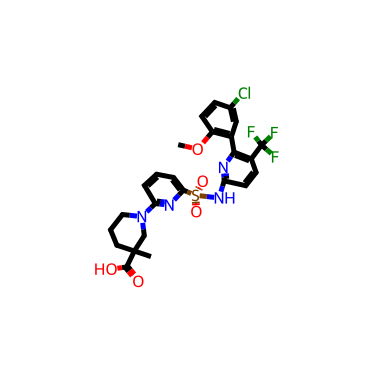 COc1ccc(Cl)cc1-c1nc(NS(=O)(=O)c2cccc(N3CCCC(C)(C(=O)O)C3)n2)ccc1C(F)(F)F